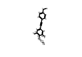 CCc1ccc(C#Cc2cc(C)c(N=C=S)c(F)c2)cc1